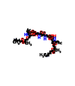 C/C=C\CCCC(=O)O[C@H](C)CCOC[C@H](COP(=O)(O)OCCNC(=O)CC(=O)NCCOP(=O)(O)OC[C@@H](COCC[C@@H](C)OC(=O)CCC/C=C\C)NC(=O)CC(C)=O)NC(=O)CC(C)=O